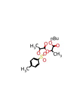 CCCCOC(=O)C(C)OC(=O)C(C)OS(=O)(=O)c1ccc(C)cc1